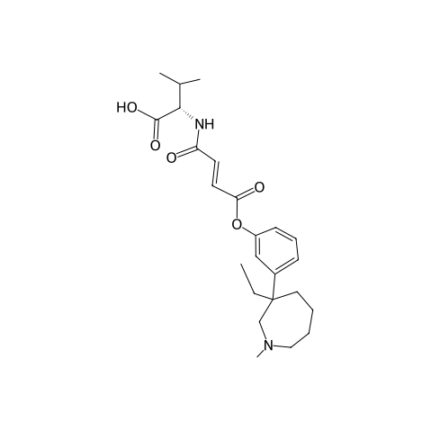 CCC1(c2cccc(OC(=O)/C=C/C(=O)N[C@H](C(=O)O)C(C)C)c2)CCCCN(C)C1